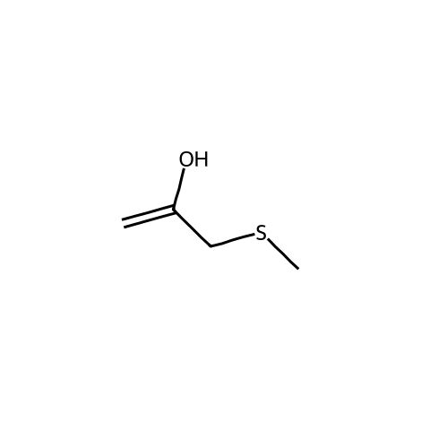 C=C(O)CSC